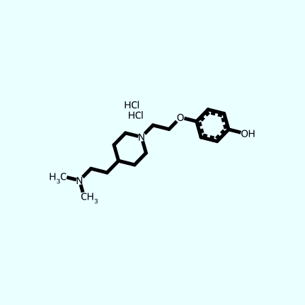 CN(C)CCC1CCN(CCOc2ccc(O)cc2)CC1.Cl.Cl